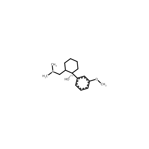 COc1cccc([C@]2(O)CCCCC2CN(C)C)c1